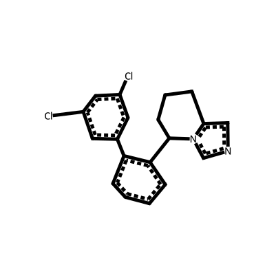 Clc1cc(Cl)cc(-c2ccccc2C2CCCc3cncn32)c1